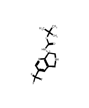 CC(C)(C)OC(=O)N[C@@H]1CNCc2cc(C(F)(F)F)cnc21